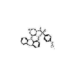 O=S(=O)(N[C@@H]1CNC[C@H](N2c3ccccc3Oc3ccccc32)[C@H]1O)c1ccc(OC(F)(F)F)cc1